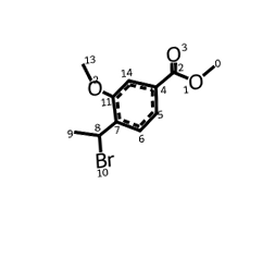 COC(=O)c1ccc(C(C)Br)c(OC)c1